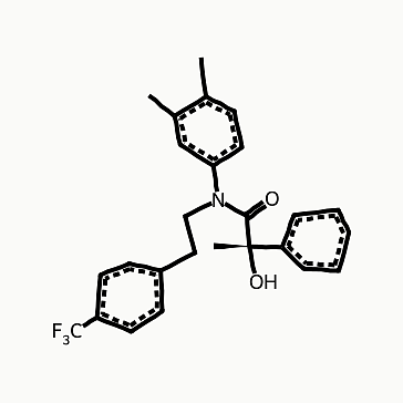 Cc1ccc(N(CCc2ccc(C(F)(F)F)cc2)C(=O)[C@@](C)(O)c2ccccc2)cc1C